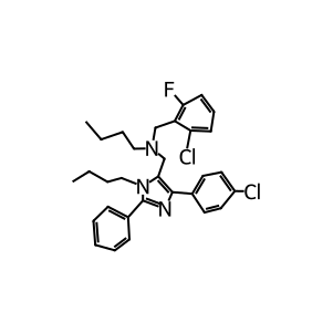 CCCCN(Cc1c(F)cccc1Cl)Cc1c(-c2ccc(Cl)cc2)nc(-c2ccccc2)n1CCCC